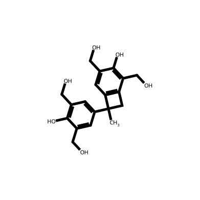 CC1(c2cc(CO)c(O)c(CO)c2)Cc2c1cc(CO)c(O)c2CO